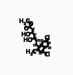 COC(=O)CC(O)CC(O)CCc1c(C)cc(Cl)c2ccc(Cl)cc12